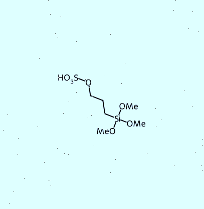 CO[Si](CCCOS(=O)(=O)O)(OC)OC